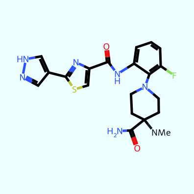 CNC1(C(N)=O)CCN(c2c(F)cccc2NC(=O)c2csc(-c3cn[nH]c3)n2)CC1